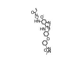 C=CC(=O)N1CC(Nc2cc3c(Nc4ccc(Oc5cccc(-c6nnc(C)o6)c5)cc4F)ncnc3cc2OC)C1